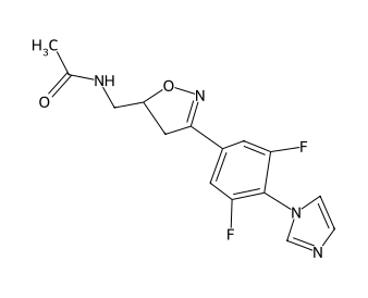 CC(=O)NCC1CC(c2cc(F)c(-n3ccnc3)c(F)c2)=NO1